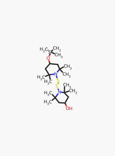 CC1(C)CC(O)CC(C)(C)N1SSN1C(C)(C)CC(O[Si](C)(C)C)CC1(C)C